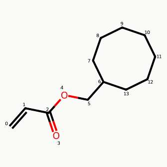 C=CC(=O)OCC1CCCCCCC1